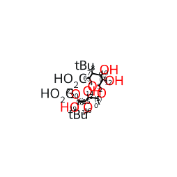 C[C@H](OC1OC(C(=O)O)C(C(C)(C)C)C(O)[C@H]1O)C(O)C(OC(C)(C)C)[C@@H](O)OC(=O)O